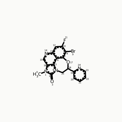 Cn1c(=O)n2c3c4c(c(Br)c(F)cc4ncc31)OC(c1ccccn1)C2